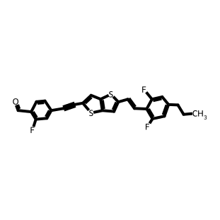 CCCc1cc(F)c(/C=C/c2cc3sc(C#Cc4ccc(C=O)c(F)c4)cc3s2)c(F)c1